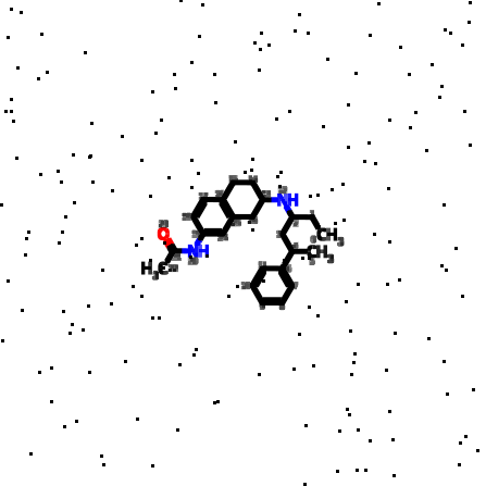 CCC(CC(C)c1ccccc1)NC1CCc2ccc(NC(C)=O)cc2C1